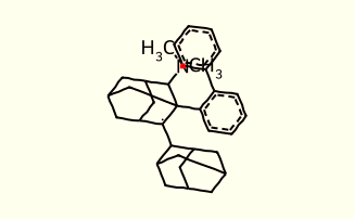 CN(C)C1C2CC3CC(C2)[C](C2C4CC5CC(C4)CC2C5)C1(c1ccccc1-c1ccccc1)C3